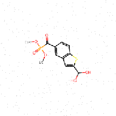 CCOP(=O)(OCC)C(=O)c1ccc2sc(C(O)O)cc2c1